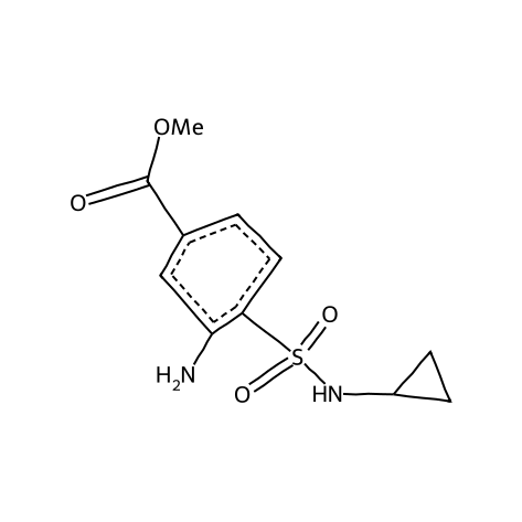 COC(=O)c1ccc(S(=O)(=O)NC2CC2)c(N)c1